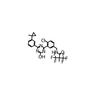 CC1(c2cccc(-c3nc(O)nc(-c4cc(CNC(=O)C(C)(C(F)(F)F)C(F)(F)F)ccc4Cl)n3)c2)CC1